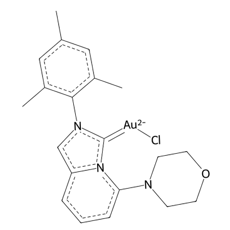 Cc1cc(C)c(-n2cc3cccc(N4CCOCC4)n3[c]2=[Au-2][Cl])c(C)c1